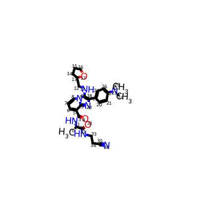 CC(NC(=O)c1cccn2c(NCC3CCCO3)c(-c3ccc(N(C)C)cc3)nc12)C(=O)NCCC#N